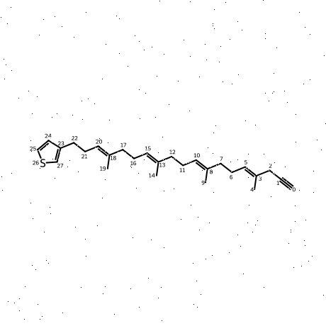 C#CC/C(C)=C/CC/C(C)=C/CC/C(C)=C/CC/C(C)=C/CCc1ccsc1